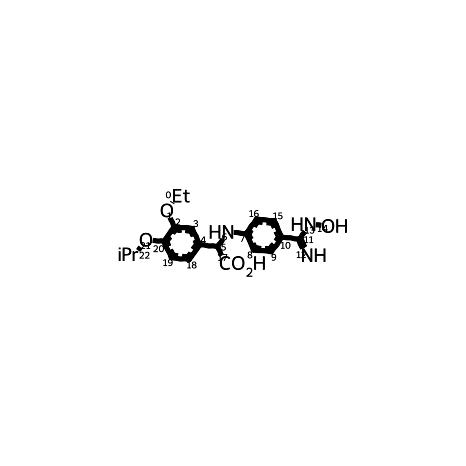 CCOc1cc(C(Nc2ccc(C(=N)NO)cc2)C(=O)O)ccc1OC(C)C